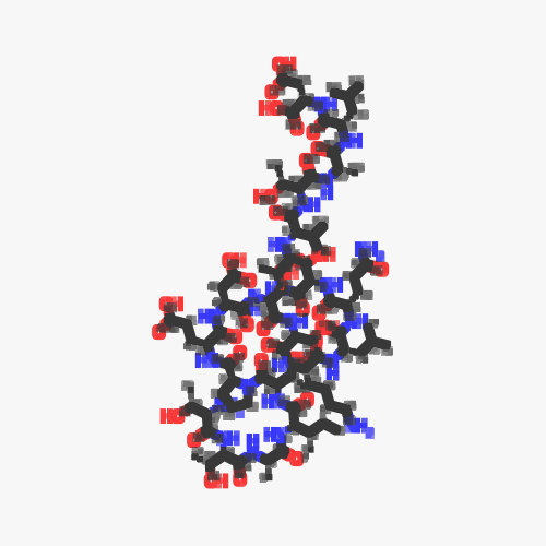 CC[C@H](C)[C@H](NC(=O)[C@H](C)NC(=O)[C@@H](NC(=O)[C@@H](N)[C@@H](C)O)[C@@H](C)O)C(=O)N[C@H](C(=O)N1CCC[C@H]1C(=O)N[C@@H](CCC(=O)O)C(=O)N[C@@H](CC(=O)O)C(=O)N[C@H](C(=O)N[C@H](C(=O)N[C@@H](CCCCN)C(=O)N[C@@H](CC(C)C)C(=O)N[C@@H](CCC(N)=O)C(=O)N[C@H](C(=O)N[C@@H](C)C(=O)N[C@H](C(=O)N[C@H](C(=O)N[C@@H](C)C(=O)N[C@@H](CC(C)C)C(=O)N[C@@H](CC(=O)O)C(=O)O)[C@@H](C)O)C(C)C)[C@@H](C)O)[C@@H](C)O)[C@@H](C)O)[C@@H](C)O